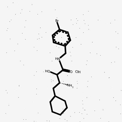 Cl.N[C@H](CC1CCCCC1)C(O)C(=O)NCc1ccc(Br)cc1